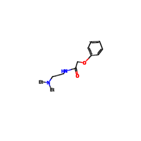 CCN(CC)CCNC(=O)COc1c[c]ccc1